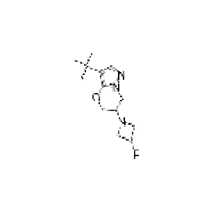 CC(C)(C)c1cnn2c1OCC(N1CC(F)C1)C2